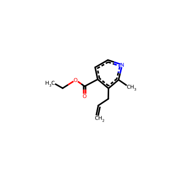 C=CCc1c(C(=O)OCC)ccnc1C